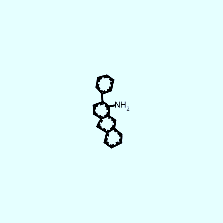 Nc1c(-c2ccccc2)ccc2cc3ccccc3cc12